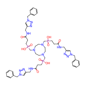 O=C(CCP(=O)(O)CN1CCN(CP(=O)(O)CCC(=O)NCc2cn(Cc3ccccc3)nn2)CCN(CP(=O)(O)CCC(=O)NCc2cn(Cc3ccccc3)nn2)CC1)NCc1cn(Cc2ccccc2)nn1